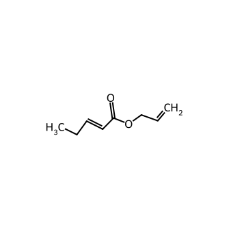 C=CCOC(=O)C=CCC